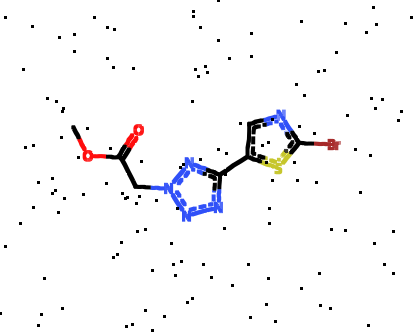 COC(=O)Cn1nnc(-c2cnc(Br)s2)n1